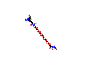 CCNC(=O)CCOCCOCCOCCOCCOCCOCCOCCOCCOCCOCCNC(=O)CCCC[C@@H]1SC[C@@H]2NC(=O)N[C@@H]21